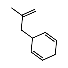 C=C(C)CC1C=CCC=C1